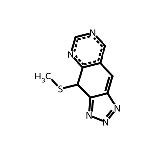 CSC1C2=NN=NC2=Cc2cncnc21